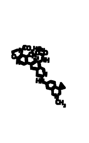 Cc1c(-c2cc3cc(Nc4ccc5c(c4)CN(C)CC54CC4)ncc3c(NC(=O)OC(C)(C)C)c2F)cnc2c1N(C(=O)O)CCO2